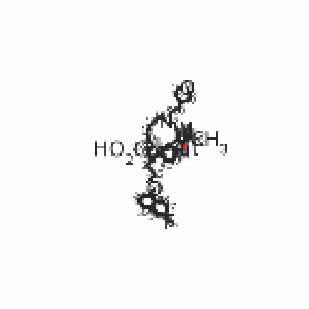 CCc1c2c(nn1C)CN(CCC1CCOCC1)CCCCn1c(C(=O)O)c(CCCOc3cccc4cc(F)ccc34)c3ccc(Cl)c-2c31